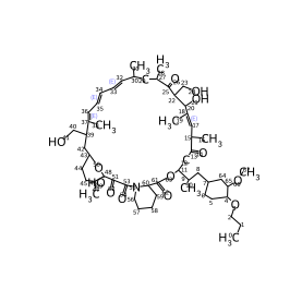 CCCOC1CCC(CC(C)C2CC(=O)C(C)/C=C(\C)C(O)C(CO)C(=O)C(C)CC(C)/C=C/C=C/C=C(\C)C(CO)CC3CCC(C)C(O)(O3)C(=O)C(=O)N3CCCCC3C(=O)O2)CC1OC